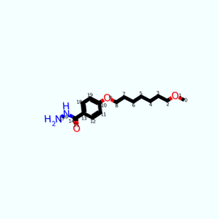 COCCCCCCCOc1ccc(C(=O)NN)cc1